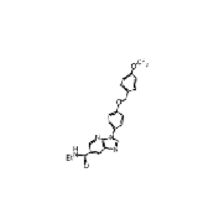 CCNC(=O)c1cnc2c(c1)ncn2-c1ccc(OCc2ccc(OC(F)(F)F)cc2)cc1